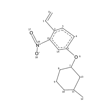 C=Cc1ccc(OC2CCCC(C)C2)cc1[N+](=O)[O-]